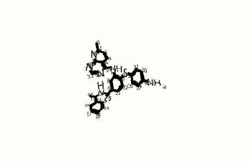 Cc1ccc2c(Nc3cc(C(=O)NC(C)c4ccccc4)ccc3Sc3ccc(N)cc3)ncnc2n1